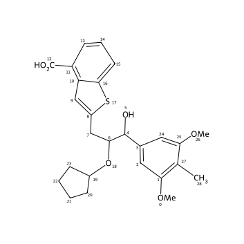 COc1cc(C(O)C(Cc2cc3c(C(=O)O)cccc3s2)OC2CCCC2)cc(OC)c1C